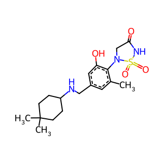 Cc1cc(CNC2CCC(C)(C)CC2)cc(O)c1N1CC(=O)NS1(=O)=O